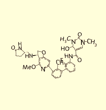 COc1nc(-c2cccc(-c3cccc(NC(=O)C4=CN(C)C(=O)N(C)C4O)c3F)c2C)cc2c1[C@@H](NC[C@@H]1CCC(=O)N1)CO2